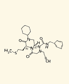 C#CCN1CC(=O)N2[C@@H](CCSC)C(=O)N(C3CCCCC3)C[C@@H]2N1C(=O)NCc1ccccc1